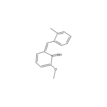 COC1=CC=C/C(=C/c2ccccc2C)C1=N